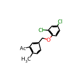 CC(=O)c1cc(COc2ccc(Cl)cc2Cl)ccc1C